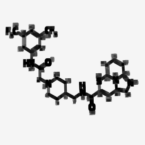 O=C(CN1CCC(CNC(=O)C2=Cc3cnc4cccc(n34)S2)CC1)Nc1cc(C(F)(F)F)cc(C(F)(F)F)c1